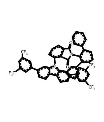 O=C1c2cccc(-n3c4cc(-c5cc(C(F)(F)F)cc(C(F)(F)F)c5)ccc4c4ccc(-c5cc(C(F)(F)F)cc(C(F)(F)F)c5)cc43)c2C(=O)N1c1c(-c2ccccc2)cccc1-c1ccccc1